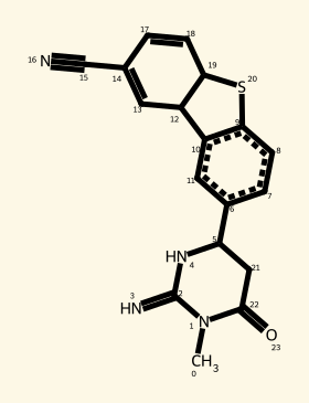 CN1C(=N)NC(c2ccc3c(c2)C2C=C(C#N)C=CC2S3)CC1=O